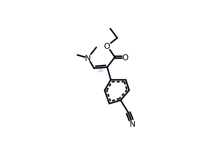 CCOC(=O)/C(=C\N(C)C)c1ccc(C#N)cc1